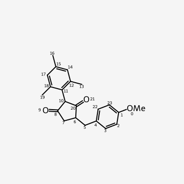 COc1ccc(CC2CC(=O)C(c3c(C)cc(C)cc3C)C2=O)cc1